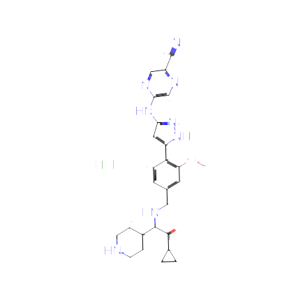 COc1cc(CNC(C(=O)C2CC2)C2CCNCC2)ccc1-c1cc(Nc2cnc(C#N)cn2)n[nH]1.Cl